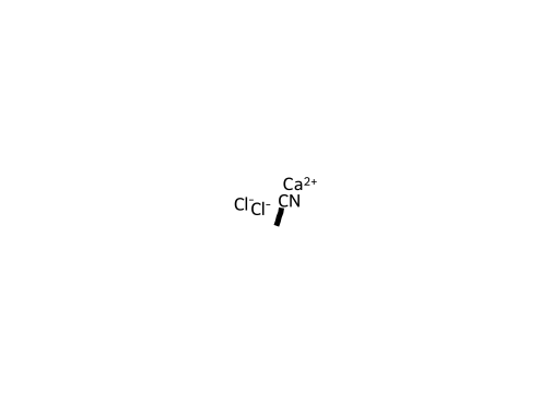 CC#N.[Ca+2].[Cl-].[Cl-]